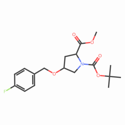 COC(=O)C1CC(OCc2ccc(F)cc2)CN1C(=O)OC(C)(C)C